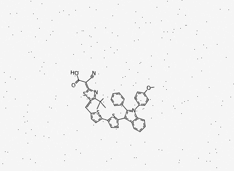 COc1ccc(-n2c(-c3ccccc3)c(-c3ccc(-c4ccc(C=c5s/c(=C(/C#N)C(=O)O)nc5C(C)(C)C)s4)s3)c3ccccc32)cc1